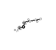 Cc1nc(-c2cccc(-c3noc(CCC(=O)OCCCCOC(=O)CCCl)n3)c2)no1